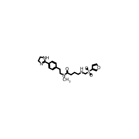 CN(CCc1ccc(C2=NCCN2)cc1)C(=O)CCCNCS(=O)(=O)c1ccoc1